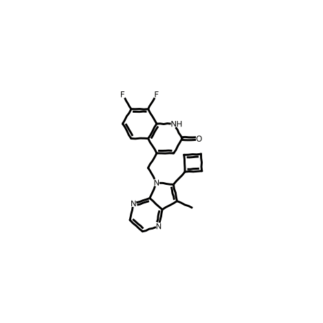 Cc1c(C2=CC=C2)n(Cc2cc(=O)[nH]c3c(F)c(F)ccc23)c2nccnc12